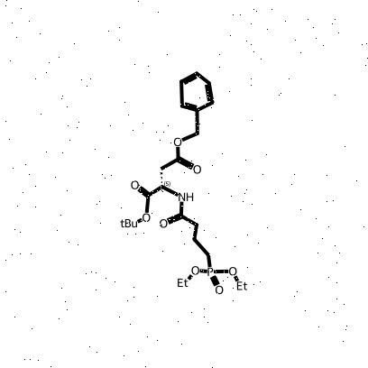 CCOP(=O)(CCCC(=O)N[C@@H](CC(=O)OCc1ccccc1)C(=O)OC(C)(C)C)OCC